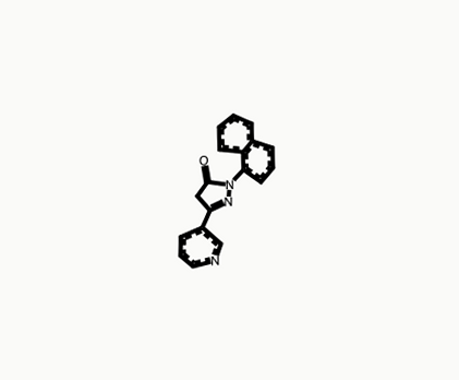 O=C1CC(c2cccnc2)=NN1c1cccc2ccccc12